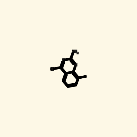 Cc1cccc2c(Cl)nc(N)nc12